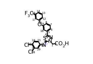 O=C(O)Cn1nc(-c2cccc(Oc3cccc(C(F)(F)F)c3)c2)s/c1=N\c1ccc(Cl)c(Cl)c1